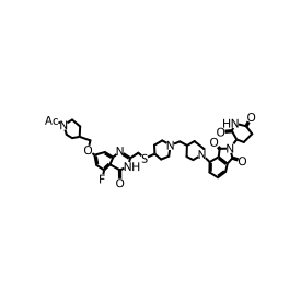 CC(=O)N1CCC(COc2cc(F)c3c(=O)[nH]c(CSC4CCN(CC5CCN(c6cccc7c6C(=O)N(C6CCC(=O)NC6=O)C7=O)CC5)CC4)nc3c2)CC1